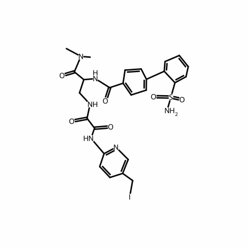 CN(C)C(=O)C(CNC(=O)C(=O)Nc1ccc(CI)cn1)NC(=O)c1ccc(-c2ccccc2S(N)(=O)=O)cc1